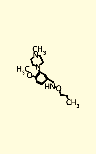 CCCONCc1ccc(OC)c(N2CCN(C)CC2)c1